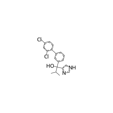 CC(C)C(O)(c1cccc(-c2ccc(Cl)cc2Cl)c1)c1c[nH]cn1